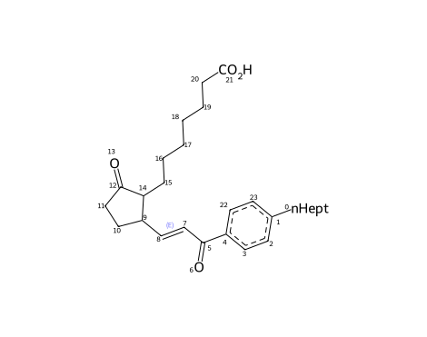 CCCCCCCc1ccc(C(=O)/C=C/C2CCC(=O)C2CCCCCCC(=O)O)cc1